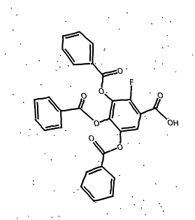 O=C(Oc1cc(C(=O)O)c(F)c(OC(=O)c2ccccc2)c1OC(=O)c1ccccc1)c1ccccc1